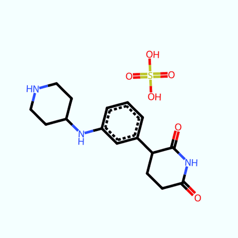 O=C1CCC(c2cccc(NC3CCNCC3)c2)C(=O)N1.O=S(=O)(O)O